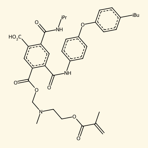 C=C(C)C(=O)OCCN(C)COC(=O)c1cc(C(=O)O)c(C(=O)NC(C)C)cc1C(=O)Nc1ccc(Oc2ccc(C(C)CC)cc2)cc1